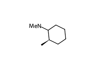 CNC1CCCC[C@H]1C